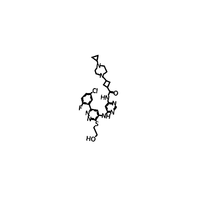 O=C(Nc1cc(Nc2cc(-c3cc(Cl)ccc3F)nnc2SCCO)ncn1)C1CC(N2CCN(C3CC3)CC2)C1